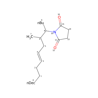 CCCCCCCCCCCCC=CCC(C)C(CCCC)N1C(=O)CCC1=O